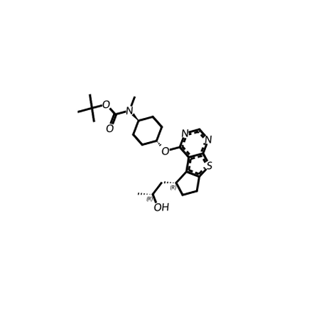 C[C@@H](O)C[C@H]1CCc2sc3ncnc(O[C@H]4CC[C@H](N(C)C(=O)OC(C)(C)C)CC4)c3c21